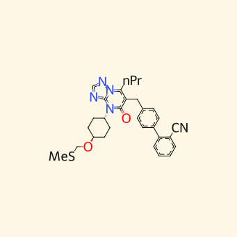 CCCc1c(Cc2ccc(-c3ccccc3C#N)cc2)c(=O)n([C@H]2CC[C@H](OCSC)CC2)c2ncnn12